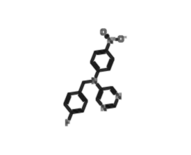 O=[N+]([O-])c1ccc(N(Cc2ccc(F)cc2)c2cncnc2)cc1